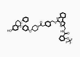 O=C(NCc1cc2c3ccccc3nc(SCc3ccc(CC(=O)N4CCC(Oc5ccc([C@@H]6c7ccc(O)cc7CC[C@@H]6c6ccccc6)cc5)CC4)cc3)n2n1)c1ccccc1OC(F)(F)F